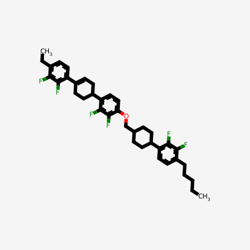 CCCCCc1ccc(C2CCC(COc3ccc(C4CC=C(c5ccc(CC)c(F)c5F)CC4)c(F)c3F)CC2)c(F)c1F